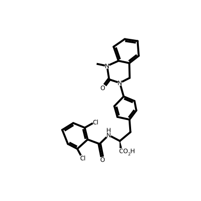 CN1C(=O)N(c2ccc(C[C@H](NC(=O)c3c(Cl)cccc3Cl)C(=O)O)cc2)Cc2ccccc21